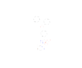 O=S1(=O)c2ccc(Oc3ccccc3-c3ccccc3)cc2CN1c1nccs1